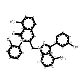 Cc1cccc2cc(Cn3nc(-c4cccc(O)c4)c4c(N)ncnc43)n(-c3ccccc3Cl)c(=O)c12